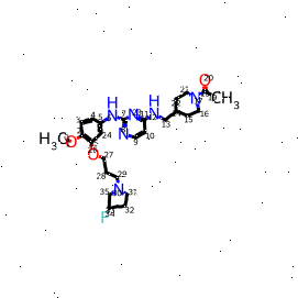 COc1ccc(Nc2nccc(NCC3CCN(C(C)=O)CC3)n2)cc1OCCCN1CC[C@H](F)C1